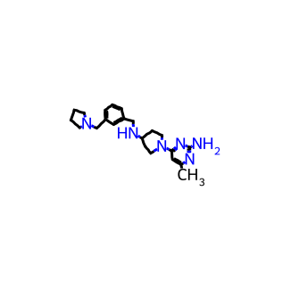 Cc1cc(N2CCC(NCc3cccc(CN4CCCC4)c3)CC2)nc(N)n1